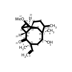 C=C[C@]1(C)C[C@@H](O)[C@]2(C)C(C)CC[C@@]34CC([C@@H](OC)C32)[C@H]4C1=O